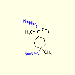 CC1(N=[N+]=[N-])CCC(C(C)(C)N=[N+]=[N-])CC1